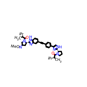 CON=C1C[C@@H](c2nc3cc(C#Cc4ccc(-c5c[nH]c([C@@H]6CCCN6C(=O)[C@@H](C)C(C)C)n5)cc4)ccc3[nH]2)N(C(=O)[C@@H](C)C(C)C)C1